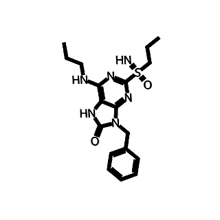 CCCNc1nc(S(=N)(=O)CCC)nc2c1[nH]c(=O)n2Cc1ccccc1